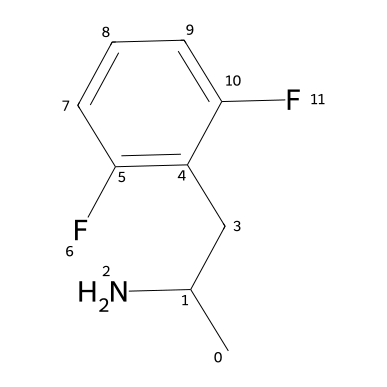 CC(N)Cc1c(F)cccc1F